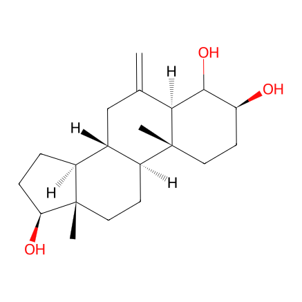 C=C1C[C@@H]2[C@H](CC[C@]3(C)[C@@H](O)CC[C@@H]23)[C@@]2(C)CC[C@H](O)C(O)[C@H]12